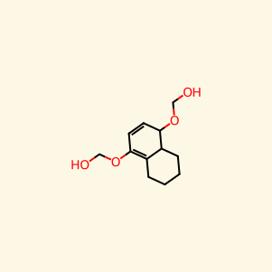 OCOC1=C2CCCCC2C(OCO)C=C1